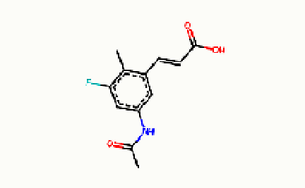 CC(=O)Nc1cc(F)c(C)c(/C=C/C(=O)O)c1